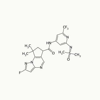 CC1(C)CC(C(=O)Nc2cc(N=S(C)(C)=O)nc(C(F)(F)F)c2)c2cnc3cc(F)nn3c21